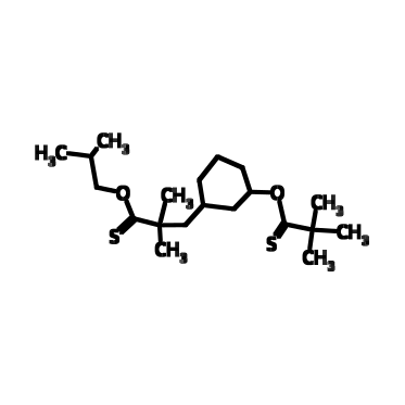 CC(C)COC(=S)C(C)(C)CC1CCCC(OC(=S)C(C)(C)C)C1